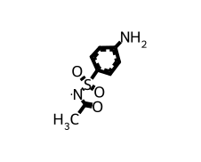 CC(=O)[N]S(=O)(=O)c1ccc(N)cc1